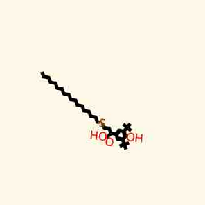 CCCCCCCCCCCCCCCCCCSCCC(C(=O)O)c1cc(C(C)(C)C)c(O)c(C(C)(C)C)c1